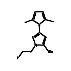 Cc1ccc(C)n1-c1cc(C(C)(C)C)n(CCF)n1